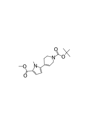 COC(=O)c1ccc(C2=CCN(C(=O)OC(C)(C)C)CC2)n1C